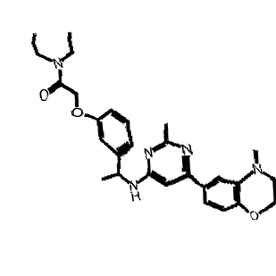 CCN(CC)C(=O)COc1cccc(C(C)Nc2cc(-c3ccc4c(c3)N(C)CCO4)nc(C)n2)c1